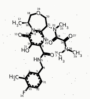 Cc1cc(CNC(=O)c2nc3n(c(=O)c2O)[C@@H](C)COC[C@@H]3N(C)C(=O)C(=O)N(C)C)ccc1F